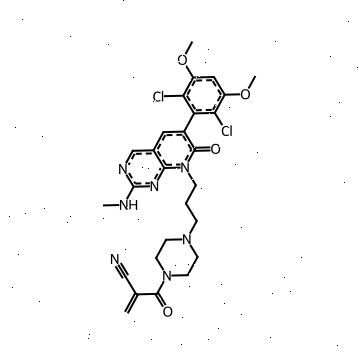 C=C(C#N)C(=O)N1CCN(CCCn2c(=O)c(-c3c(Cl)c(OC)cc(OC)c3Cl)cc3cnc(NC)nc32)CC1